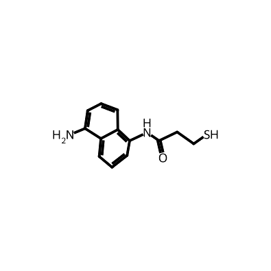 Nc1cccc2c(NC(=O)CCS)cccc12